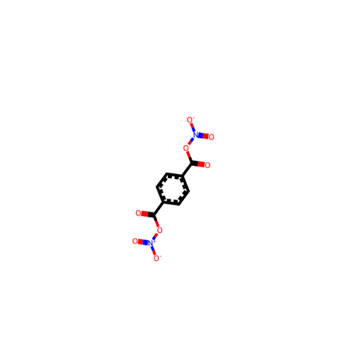 O=C(O[N+](=O)[O-])c1ccc(C(=O)O[N+](=O)[O-])cc1